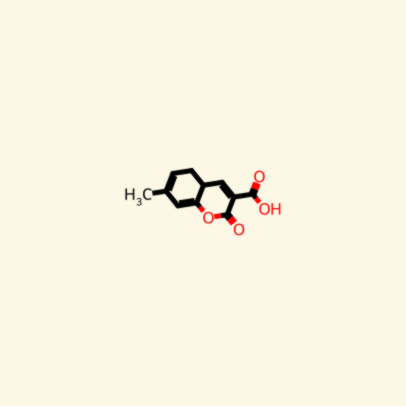 CC1=CCC2C=C(C(=O)O)C(=O)OC2=C1